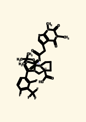 Cn1c(=O)c2c(CC(=O)/N=c3\scc(-c4ccc(F)c(C(F)(F)F)c4F)n3C[C@]3(C(=O)O)CCCN3C(=O)OC(C)(C)C)csc2n(C)c1=O